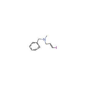 CN(C/C=C/I)Cc1ccccc1